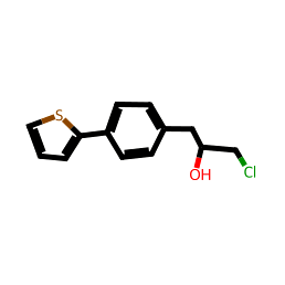 OC(CCl)Cc1ccc(-c2cccs2)cc1